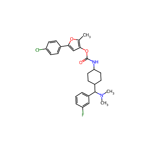 Cc1oc(-c2ccc(Cl)cc2)cc1OC(=O)NC1CCC(C(c2cccc(F)c2)N(C)C)CC1